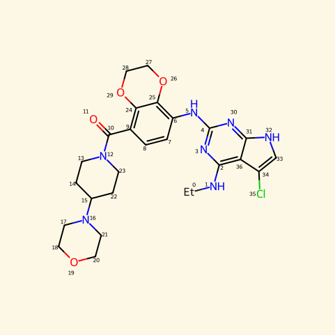 CCNc1nc(Nc2ccc(C(=O)N3CCC(N4CCOCC4)CC3)c3c2OCCO3)nc2[nH]cc(Cl)c12